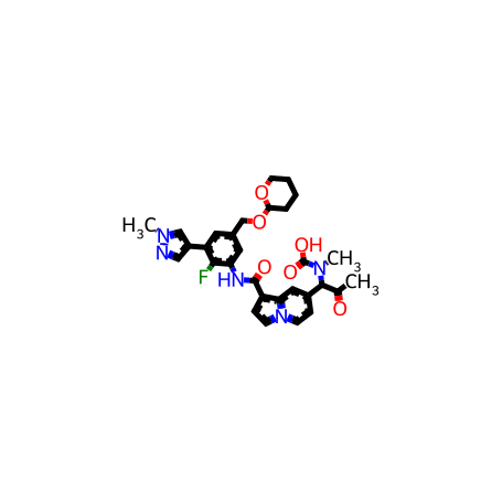 CC(=O)C(c1ccn2ccc(C(=O)Nc3cc(COC4CCCCO4)cc(-c4cnn(C)c4)c3F)c2c1)N(C)C(=O)O